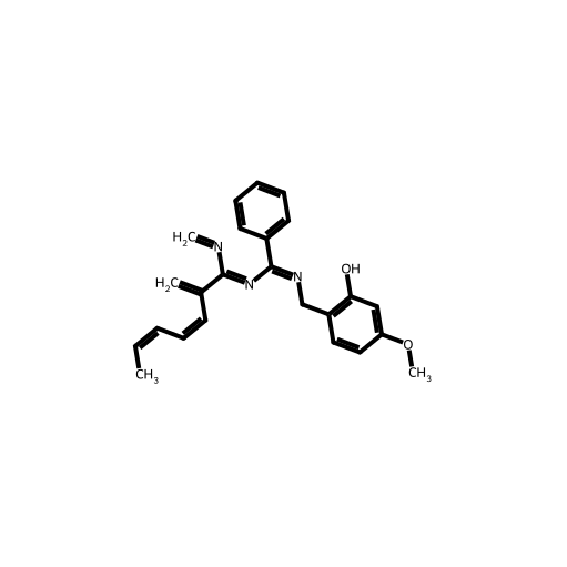 C=N/C(=N\C(=N/Cc1ccc(OC)cc1O)c1ccccc1)C(=C)/C=C\C=C/C